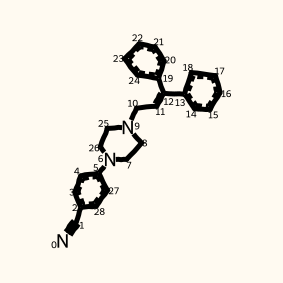 N#Cc1ccc(N2CCN(CC=C(c3ccccc3)c3ccccc3)CC2)cc1